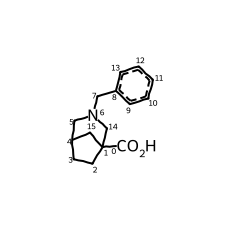 O=C(O)C12CCC(CN(Cc3ccccc3)C1)C2